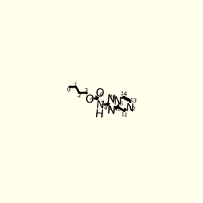 CCCCOC(=O)Nc1nc2cnccn2n1